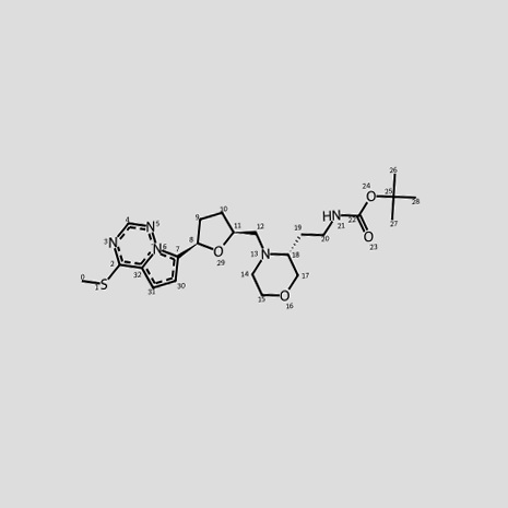 CSc1ncnn2c([C@H]3CC[C@@H](CN4CCOC[C@H]4CCNC(=O)OC(C)(C)C)O3)ccc12